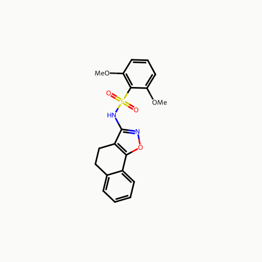 COc1cccc(OC)c1S(=O)(=O)Nc1noc2c1CCc1ccccc1-2